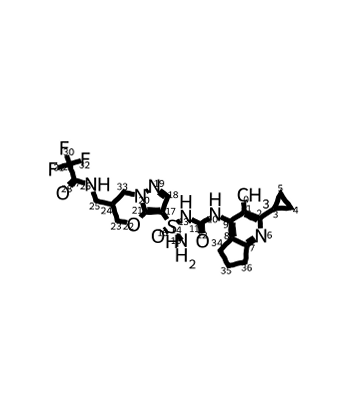 Cc1c(C2CC2)nc2c(c1NC(=O)N[SH](N)(=O)c1cnn3c1OCC(CNC(=O)C(F)(F)F)C3)CCC2